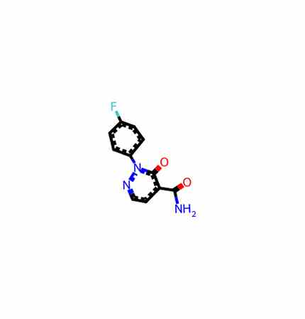 NC(=O)c1ccnn(-c2ccc(F)cc2)c1=O